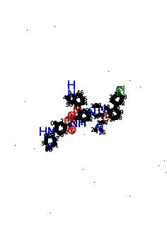 Cc1cc(S(=O)(=O)NC(=O)c2ccc(N3CCN(Cc4c(OCCN(C)C)cccc4-c4ccc(Cl)cc4)CC3)cc2Oc2cccc3[nH]ccc23)ccc1NC1CCN(C)CC1